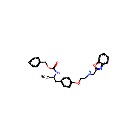 O=C(NC(Cc1ccc(OCCNCc2nc3ccccc3o2)cc1)C(=O)O)OCc1ccccc1